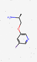 C[C@H](N)COc1cncc(I)c1